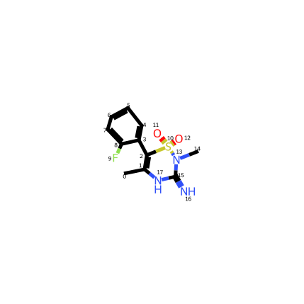 CC1=C(c2ccccc2F)S(=O)(=O)N(C)C(=N)N1